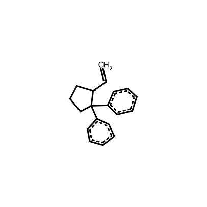 C=C[C]1CCCC1(c1ccccc1)c1ccccc1